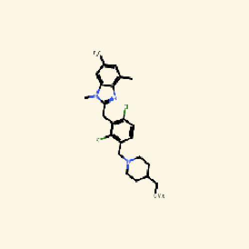 COCC1CCN(Cc2ccc(Cl)c(Cc3nc4c(C)cc(C(F)(F)F)cc4n3C)c2Cl)CC1